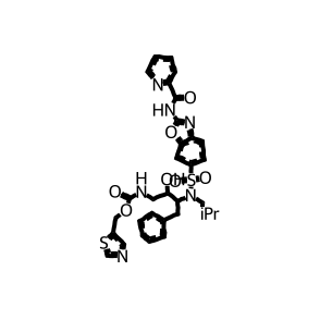 CC(C)CN(C(Cc1ccccc1)C(O)CNC(=O)OCc1cncs1)S(=O)(=O)c1ccc2nc(NC(=O)c3ccccn3)oc2c1